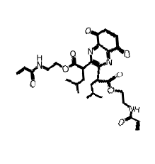 C=CC(=O)NCCOC(=O)C(CC(C)C)c1nc2c(nc1C(CC(C)C)C(=O)OCCNC(=O)C=C)C(=O)C=CC2=O